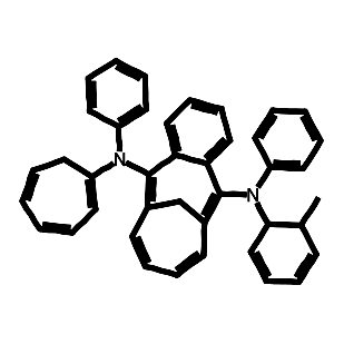 CC1C=CC=CC1N(C1=C2C=CC=CC(=C(N(C3=CC=CC=CC3)c3ccccc3)c3ccccc31)C2)c1ccccc1